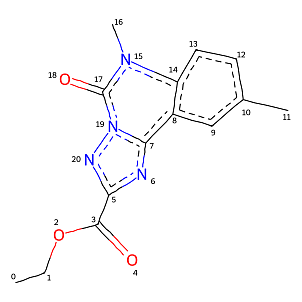 CCOC(=O)c1nc2c3cc(C)ccc3n(C)c(=O)n2n1